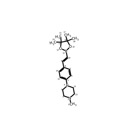 CN1CCN(c2ccc(C=CB3OC(C)(C)C(C)(C)O3)cc2)CC1